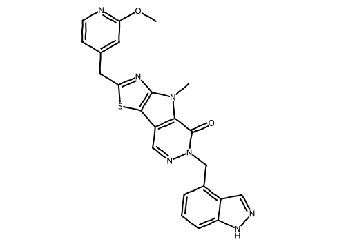 COc1cc(Cc2nc3c(s2)c2cnn(Cc4cccc5[nH]ncc45)c(=O)c2n3C)ccn1